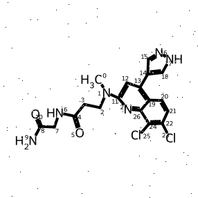 CN(CCC(=O)NCC(N)=O)c1cc(-c2cn[nH]c2)c2ccc(Cl)c(Cl)c2n1